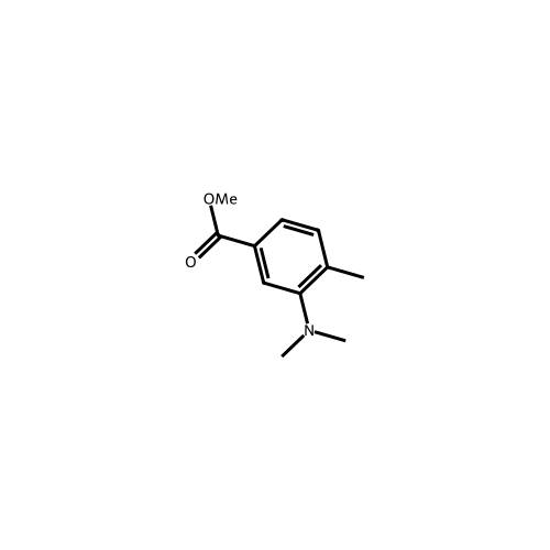 COC(=O)c1ccc(C)c(N(C)C)c1